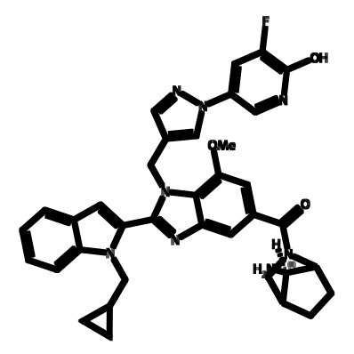 COc1cc(C(=O)N2CC3CCC2[C@@H]3N)cc2nc(-c3cc4ccccc4n3CC3CC3)n(Cc3cnn(-c4cnc(O)c(F)c4)c3)c12